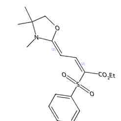 CCOC(=O)/C(=C/C=C1\OCC(C)(C)N1C)S(=O)(=O)c1ccccc1